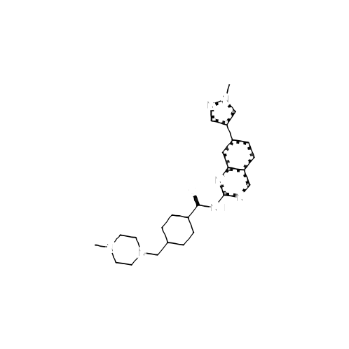 CN1CCN(CC2CCC(C(=O)Nc3ncc4ccc(-c5cnn(C)c5)cc4n3)CC2)CC1